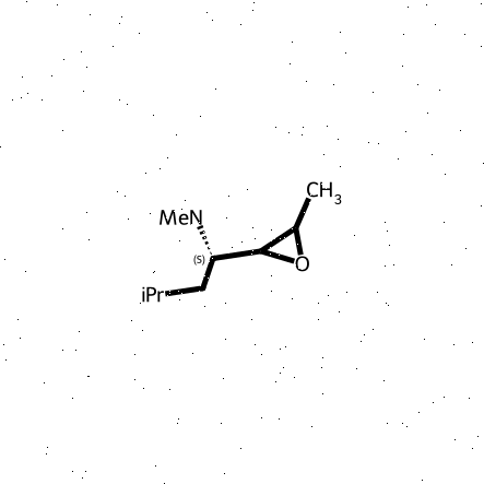 CN[C@@H](CC(C)C)C1OC1C